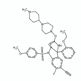 CCOc1ccccc1C1(NC(=O)ON2CCN(C3CCN(C)CC3)CC2)C(=O)N(S(=O)(=O)c2ccc(OC)cc2)c2cc(F)c(C#N)cc21